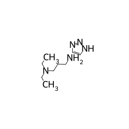 CCN(CC)CCCN.c1c[nH]nn1